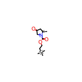 C[C@@H]1CC(=O)CN1C(=O)OCC[Si](C)(C)C